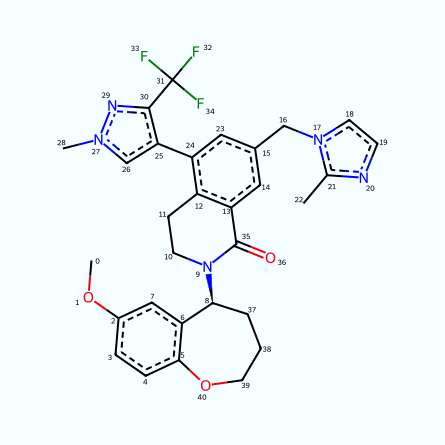 COc1ccc2c(c1)[C@@H](N1CCc3c(cc(Cn4ccnc4C)cc3-c3cn(C)nc3C(F)(F)F)C1=O)CCCO2